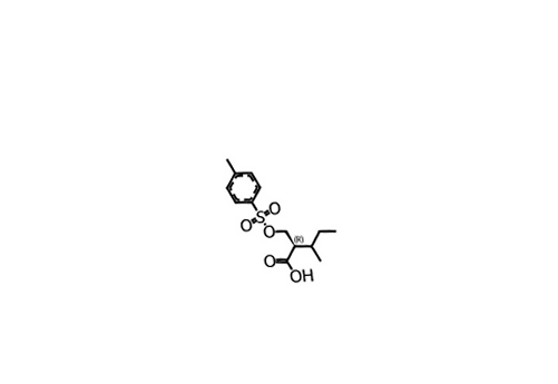 CCC(C)[C@H](COS(=O)(=O)c1ccc(C)cc1)C(=O)O